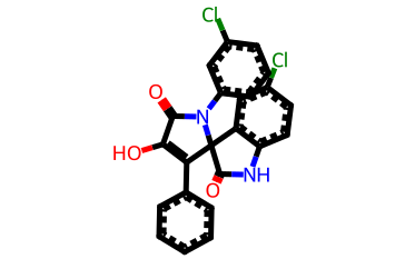 O=C1C(O)=C(c2ccccc2)C2(C(=O)Nc3ccc(Cl)cc32)N1c1cccc(Cl)c1